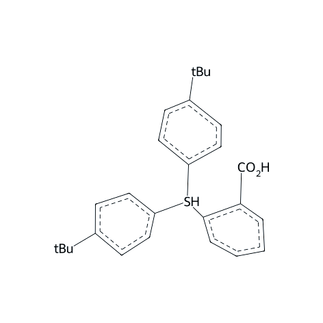 CC(C)(C)c1ccc([SH](c2ccc(C(C)(C)C)cc2)c2ccccc2C(=O)O)cc1